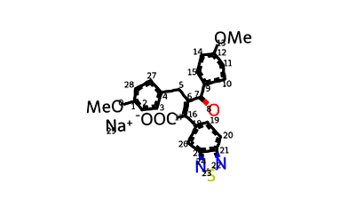 COc1ccc(C/C(C(=O)c2ccc(OC)cc2)=C(\C(=O)[O-])c2ccc3nsnc3c2)cc1.[Na+]